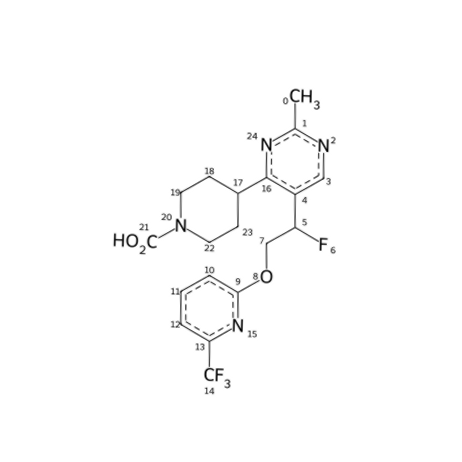 Cc1ncc(C(F)COc2cccc(C(F)(F)F)n2)c(C2CCN(C(=O)O)CC2)n1